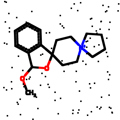 COC1OC2(CC[N+]3(CCCC3)CC2)c2ccccc21